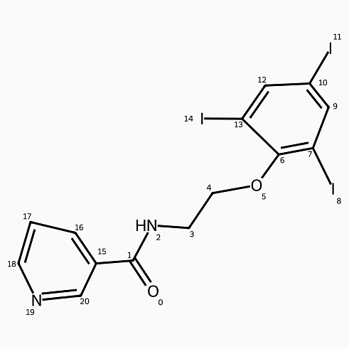 O=C(NCCOc1c(I)cc(I)cc1I)c1cccnc1